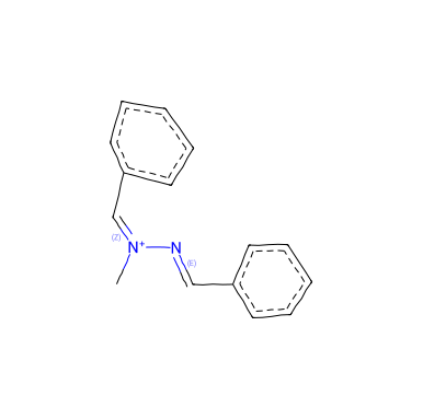 C[N+](=C/c1ccccc1)/N=C/c1ccccc1